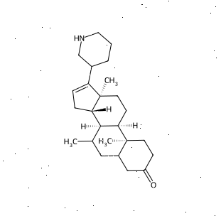 CC1CC2CC(=O)CC[C@]2(C)[C@@H]2CC[C@]3(C)C(C4CCCNC4)=CC[C@H]3[C@H]12